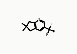 CC1(C)Cc2cc(C(F)(F)F)cnc2C1